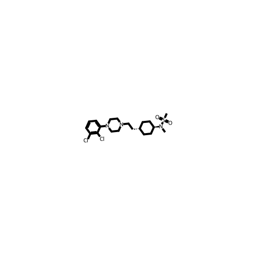 CN([C@H]1CC[C@H](CCN2CCN(c3cccc(Cl)c3Cl)CC2)CC1)S(C)(=O)=O